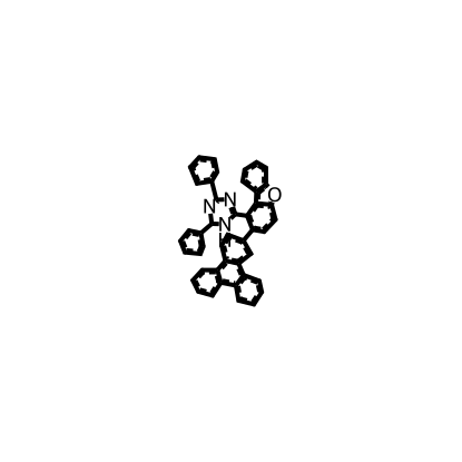 c1ccc(C2=NC(c3ccccc3)NC(c3c(-c4ccc5c6ccccc6c6ccccc6c5c4)ccc4oc5ccccc5c34)=N2)cc1